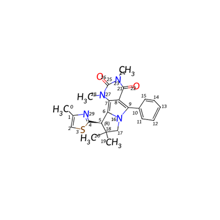 Cc1csc([C@H]2c3c4c(c(-c5ccccc5)n3CC2(C)C)c(=O)n(C)c(=O)n4C)n1